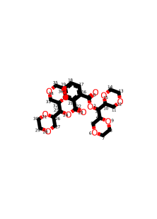 O=C(OC(C1COCCO1)C1COCCO1)c1ccccc1C(=O)OC(C1COCCO1)C1COCCO1